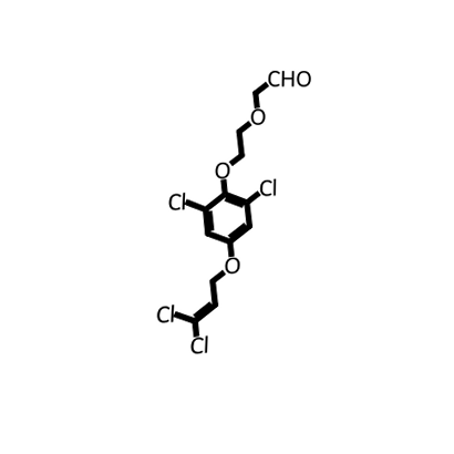 O=CCOCCOc1c(Cl)cc(OCC=C(Cl)Cl)cc1Cl